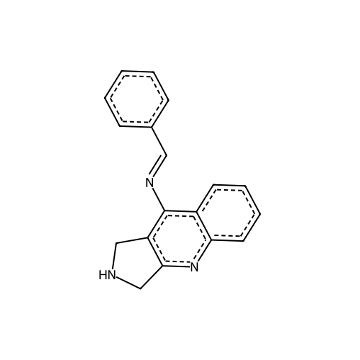 C(=Nc1c2c(nc3ccccc13)CNC2)c1ccccc1